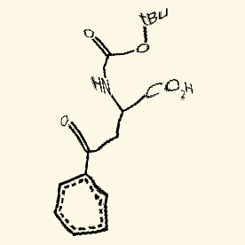 CC(C)(C)OC(=O)NC(CC(=O)c1ccccc1)C(=O)O